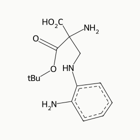 CC(C)(C)OC(=O)C(N)(CNc1ccccc1N)C(=O)O